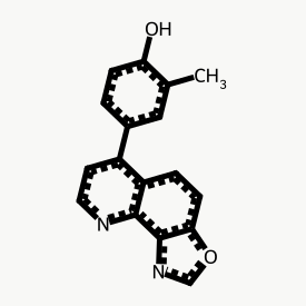 Cc1cc(-c2ccnc3c2ccc2ocnc23)ccc1O